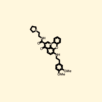 COc1ccc(CCNc2ccc3c(=O)c(C(=O)NCCN4CCCC4)cn4c3c2Oc2ccccc2-4)cc1OC